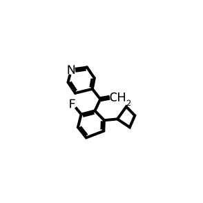 C=C(c1ccncc1)c1c(F)cccc1C1CCC1